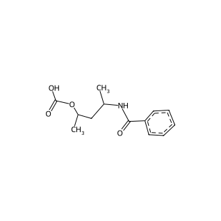 CC(CC(C)OC(=O)O)NC(=O)c1ccccc1